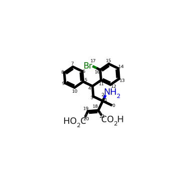 CC(N)(CC(c1ccccc1)c1ccccc1Br)/C(=C/C(=O)O)C(=O)O